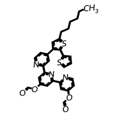 CCCCCCc1cc(-c2ccnc(-c3cc(OC=O)cc(-c4cc(OC=O)ccn4)n3)c2)c(-c2cccs2)s1